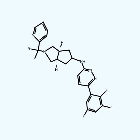 [2H]C(C)(c1ccccn1)N1C[C@H]2CC(Nc3ccc(-c4cc(F)cc(F)c4F)nn3)C[C@H]2C1